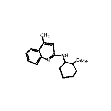 COC1C[CH]CCC1Nc1cc(C)c2ccccc2n1